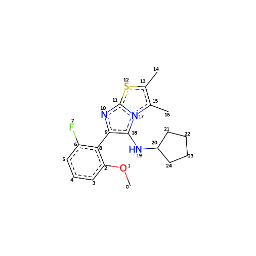 COc1cccc(F)c1-c1nc2sc(C)c(C)n2c1NC1CCCC1